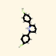 Fc1ccc(-c2cccc(-c3ccc(F)cc3)n2)cc1